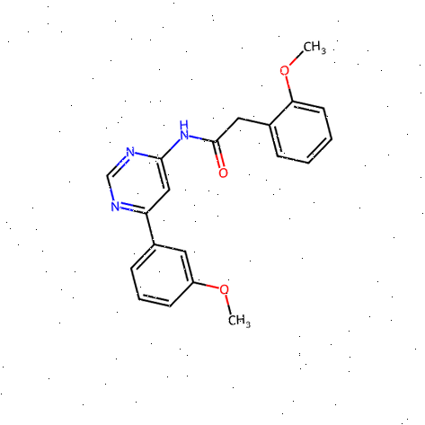 COc1cccc(-c2cc(NC(=O)Cc3ccccc3OC)ncn2)c1